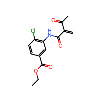 C=C(C(C)=O)C(=O)Nc1cc(C(=O)OCC)ccc1Cl